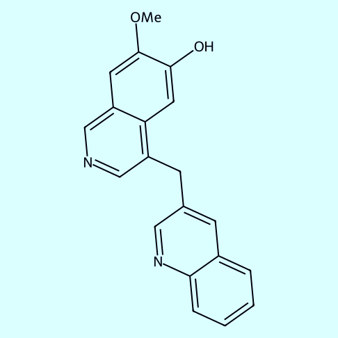 COc1cc2cncc(Cc3cnc4ccccc4c3)c2cc1O